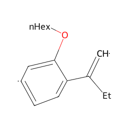 [CH]=C(CC)c1cc[c]cc1OCCCCCC